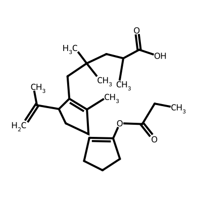 C=C(C)C1CCC(C)=C1CC(C)(C)CC(C)C(=O)O.CCC(=O)OC1=CCCC1